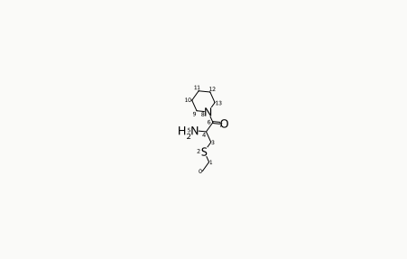 CCSCC(N)C(=O)N1CCCCC1